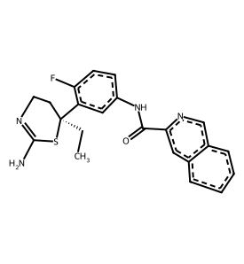 CC[C@@]1(c2cc(NC(=O)c3cc4ccccc4cn3)ccc2F)CCN=C(N)S1